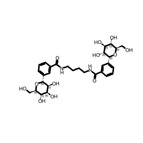 O=C(NCCCCNC(=O)c1cccc([C@H]2O[C@H](CO)[C@@H](O)[C@H](O)[C@@H]2O)c1)c1cccc([C@H]2O[C@H](CO)[C@@H](O)[C@H](O)[C@H]2O)c1